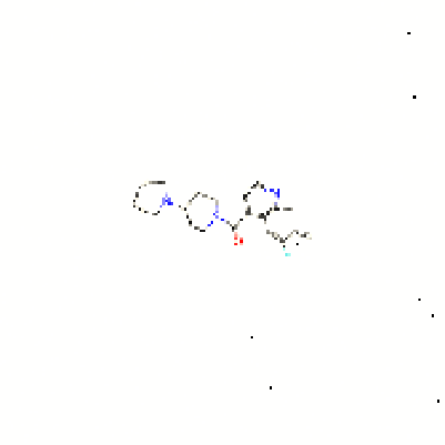 C=C/C(F)=C\c1c(C(=O)N2CCC(N3CCCCC3)CC2)ccnc1C